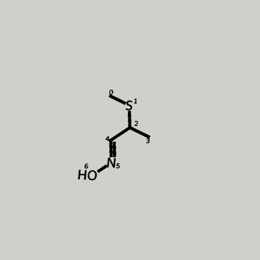 CSC(C)C=NO